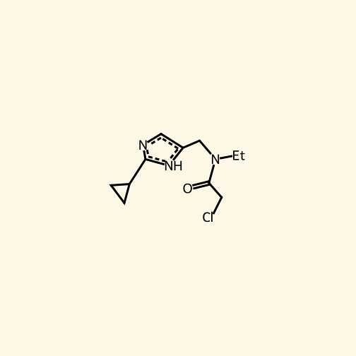 CCN(Cc1cnc(C2CC2)[nH]1)C(=O)CCl